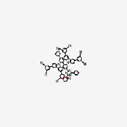 N#Cc1cc(C#N)cc(-c2ccc3c(c2)c2cc(-c4cc(C#N)cc(C#N)c4)ccc2n3-c2cc(-c3cccnc3)ccc2-c2ccc(-c3nc(-c4ccccc4)nc(-c4ccccc4)n3)cc2-n2c3ccc(-c4cc(C#N)cc(C#N)c4)cc3c3cc(-c4cc(C#N)cc(C#N)c4)ccc32)c1